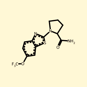 NC(=O)C1CCCN1c1nc2ccc(OC(F)(F)F)cc2s1